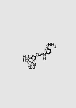 CC(C)(C)OC(=O)N1CC(OCCNc2cccc(SN)n2)CC1(C)C